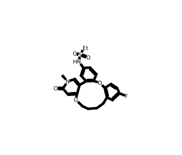 CCS(=O)(=O)Nc1ccc2c(c1)-c1cn(C)c(=O)cc1OCCCCc1cc(F)ccc1O2